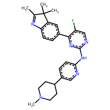 CC1=Nc2ccc(-c3nc(Nc4ccc(C5CCN(C)CC5)cn4)ncc3F)cc2C1(C)C